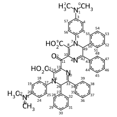 CN(C)c1ccc(N2C(C(=O)O)=C(C(=O)C3=C(C(=O)O)N(c4ccc(N(C)C)cc4)C(c4ccccc4)C(c4ccccc4)=N3)N=C(c3ccccc3)C2c2ccccc2)cc1